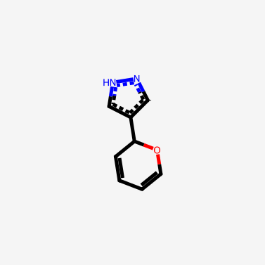 [c]1n[nH]cc1C1C=CC=CO1